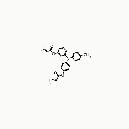 C=CC(=O)Oc1ccc(N(c2ccc(C)cc2)c2cccc(OC(=O)C=C)c2)cc1